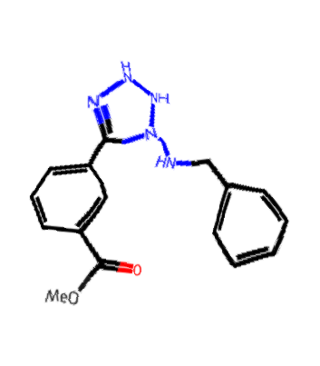 COC(=O)c1cccc(C2=NNNN2NCc2ccccc2)c1